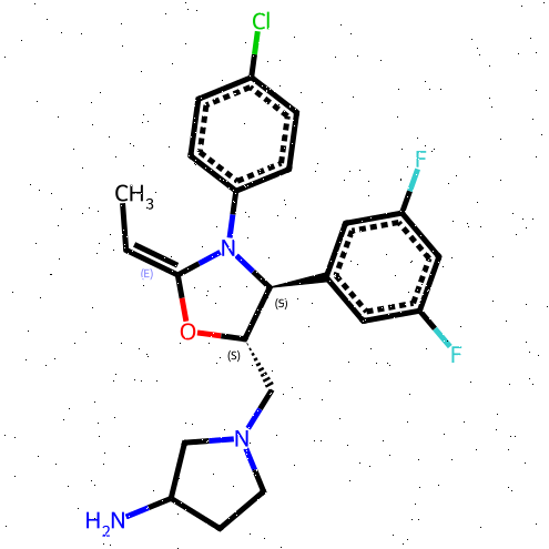 C/C=C1/O[C@@H](CN2CCC(N)C2)[C@H](c2cc(F)cc(F)c2)N1c1ccc(Cl)cc1